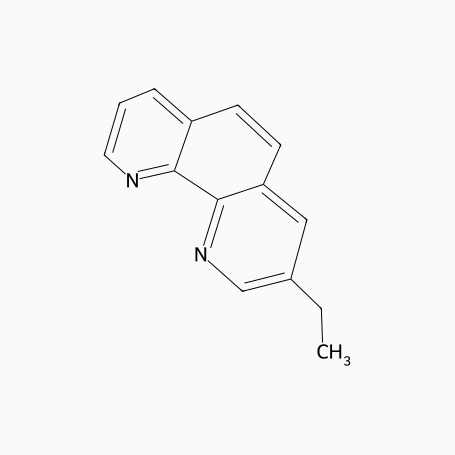 CCc1cnc2c(ccc3cccnc32)c1